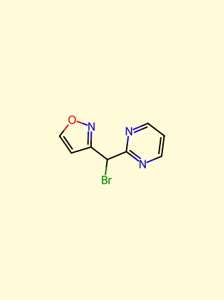 BrC(c1ccon1)c1ncccn1